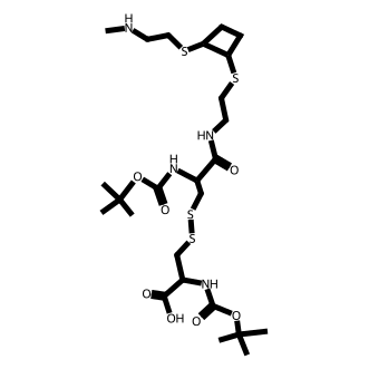 CNCCSC1CCC1SCCNC(=O)C(CSSCC(NC(=O)OC(C)(C)C)C(=O)O)NC(=O)OC(C)(C)C